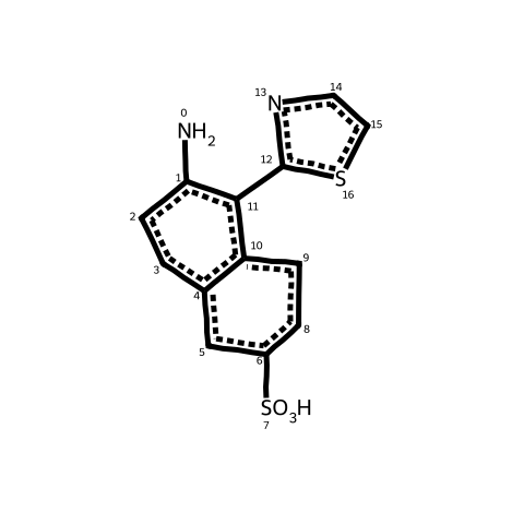 Nc1ccc2cc(S(=O)(=O)O)ccc2c1-c1nccs1